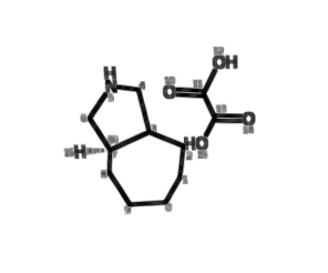 C1CCC2CNC[C@@H]2CC1.O=C(O)C(=O)O